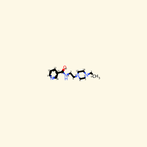 CCN1CCN(CCNC(=O)c2cccnc2)CC1